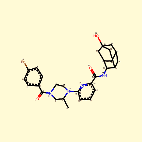 CC1CN(C(=O)c2ccc(Br)cc2)CCN1c1cccc(C(=O)NC2C3CC4CC2CC(O)(C4)C3)n1